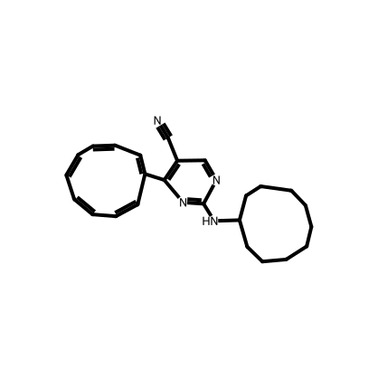 N#Cc1cnc(NC2CCCCCCCCC2)nc1-c1ccccccccc1